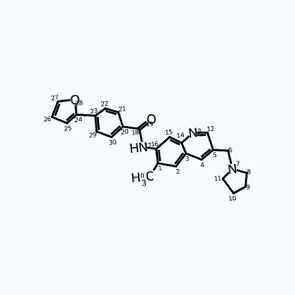 Cc1cc2cc(CN3CCCC3)cnc2cc1NC(=O)c1ccc(-c2ccco2)cc1